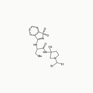 CCC(CC)N1CCC(C#N)(NC(=O)C(CC(C)(C)C)NC2=NS(=O)(=O)c3ccccc32)C1